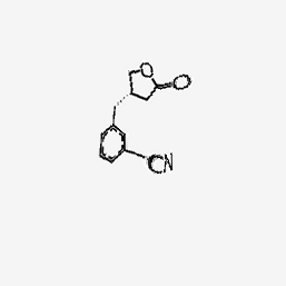 N#Cc1cccc(C[C@@H]2COC(=O)C2)c1